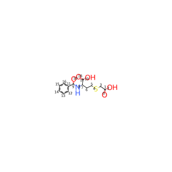 O=C(O)CSCCC(NC(=O)c1ccccc1)C(=O)O